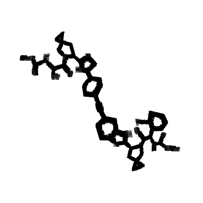 COC(=O)N[C@H](C(=O)N1CC2(CC2)C[C@H]1c1ncc(-c2ccc(C#Cc3ccc4nc([C@@H]5CC6(CC6)CN5C(=O)[C@H](NC(=O)OC)c5ccccc5F)[nH]c4c3)cc2)[nH]1)C(C)C